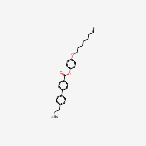 C=CCCCCCCOc1ccc(OC(=O)c2ccc(-c3ccc(CC[C@@H](C)CC)cc3)cc2)cc1